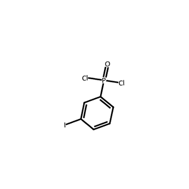 O=P(Cl)(Cl)c1cccc(I)c1